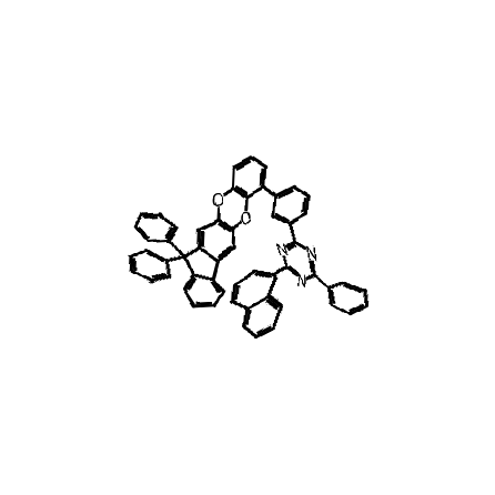 c1ccc(-c2nc(-c3cccc(-c4cccc5c4Oc4cc6c(cc4O5)C(c4ccccc4)(c4ccccc4)c4ccccc4-6)c3)nc(-c3cccc4ccccc34)n2)cc1